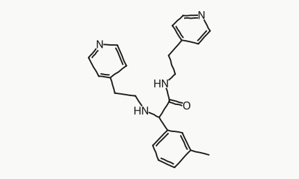 Cc1cccc(C(NCCc2ccncc2)C(=O)NCCc2ccncc2)c1